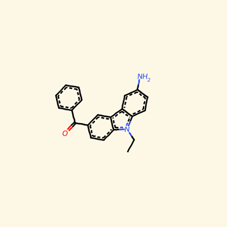 CCn1c2ccc(N)cc2c2cc(C(=O)c3ccccc3)ccc21